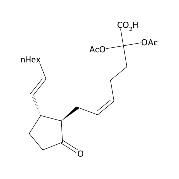 CCCCCC/C=C/[C@H]1CCC(=O)[C@@H]1C/C=C\CCC(OC(C)=O)(OC(C)=O)C(=O)O